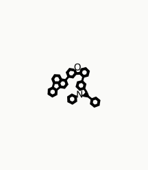 c1ccc(C2=C3c4cc(-c5cccc6oc7ccc(-c8ccc9c%10c(cccc8%10)-c8ccccc8-9)cc7c56)ccc4N(c4ccccc4)C23)cc1